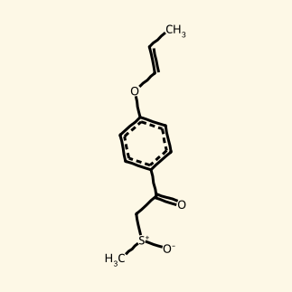 CC=COc1ccc(C(=O)C[S+](C)[O-])cc1